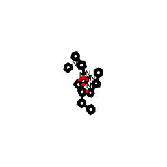 c1ccc(-c2cccc(-c3ccc(-c4ccccc4-n4c5ccccc5c5ccc6c7ccccc7n(-c7nc(-c8ccccc8)nc(-c8ccc9c%10ccccc%10n(-c%10ccccc%10)c9c8)n7)c6c54)cc3)c2)cc1